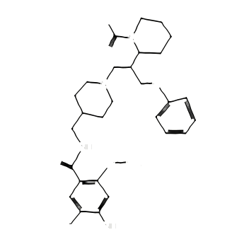 COc1cc(N)c(Cl)cc1C(=O)NCC1CCN(CC(COc2ccccc2)C2CCCCN2C(=O)O)CC1